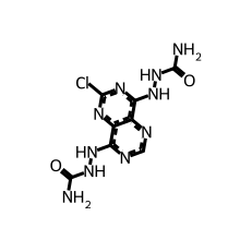 NC(=O)NNc1nc(Cl)nc2c(NNC(N)=O)ncnc12